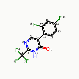 O=c1[nH]c(C(F)(F)F)ncc1-c1ccc(F)cc1F